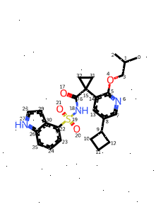 CC(C)COc1ncc(C2CCC2)cc1C1(C(=O)NS(=O)(=O)c2cccc3[nH]ccc23)CC1